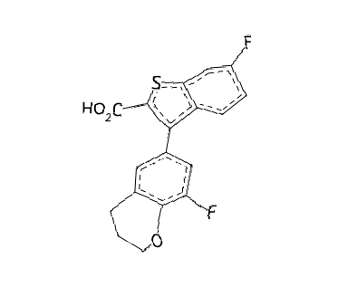 O=C(O)c1sc2cc(F)ccc2c1-c1cc(F)c2c(c1)CCCO2